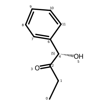 CCC(=O)[C@@H](O)c1ccccc1